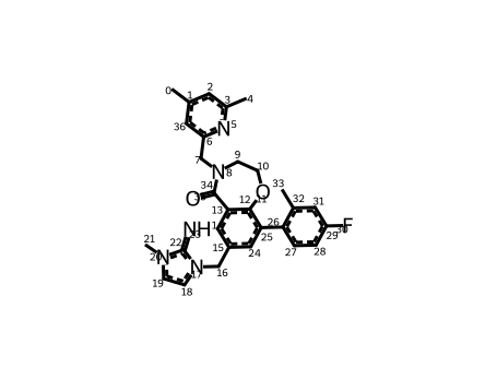 Cc1cc(C)nc(CN2CCOc3c(cc(Cn4ccn(C)c4=N)cc3-c3ccc(F)cc3C)C2=O)c1